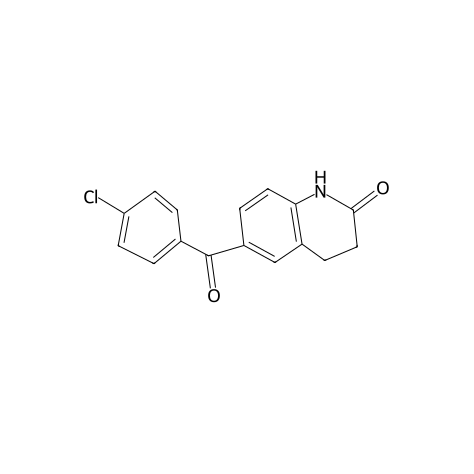 O=C1CCc2cc(C(=O)c3ccc(Cl)cc3)ccc2N1